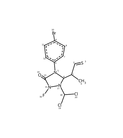 CC(C=S)C1N(c2ccc(Br)cc2)C(=O)N(F)N1C(Cl)Cl